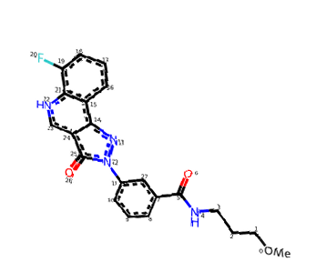 COCCCNC(=O)c1cccc(-n2nc3c4cccc(F)c4[nH]cc-3c2=O)c1